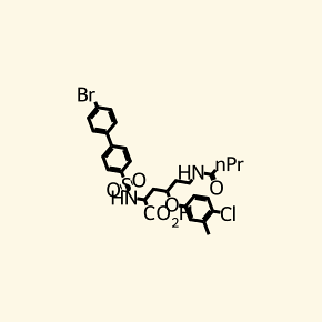 CCCC(=O)NCCC(CC(NS(=O)(=O)c1ccc(-c2ccc(Br)cc2)cc1)C(=O)O)Oc1ccc(Cl)c(C)c1